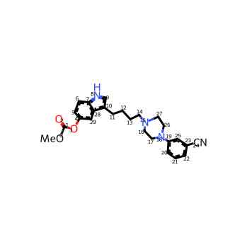 COC(=O)Oc1ccc2[nH]cc(CCCCN3CCN(c4cccc(C#N)c4)CC3)c2c1